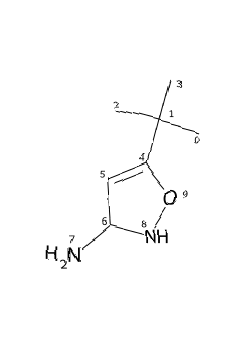 CC(C)(C)C1=CC(N)NO1